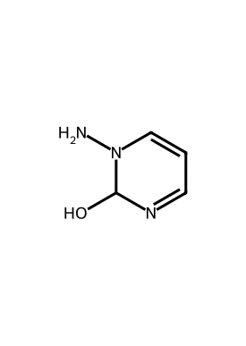 NN1C=CC=NC1O